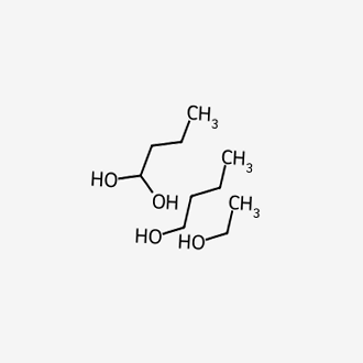 CCCC(O)O.CCCCO.CCO